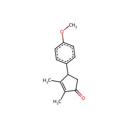 COc1ccc(C2CC(=O)C(C)=C2C)cc1